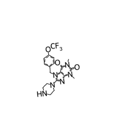 Cn1c(=O)c2c(nc(N3CCNCC3)n2Cc2ccc(OC(F)(F)F)cc2)n(C)c1=O